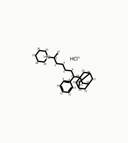 Cl.IC(CCCCC(c1ccccc1)C12CC3CC(CC(C3)C1)C2)N1CCCCC1